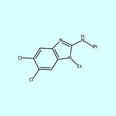 CCn1c(NC(C)C)nc2cc(Cl)c(Cl)cc21